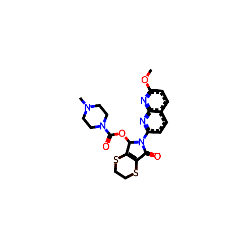 COc1ccc2ccc(N3C(=O)C4=C(SCCS4)C3OC(=O)N3CCN(C)CC3)nc2n1